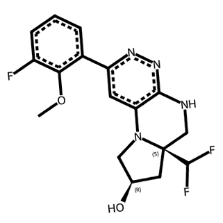 COc1c(F)cccc1-c1cc2c(nn1)NC[C@]1(C(F)F)C[C@@H](O)CN21